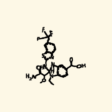 CCN1c2ccc(C(=O)O)cc2NC1(Nc1nc2ccc(C(F)(F)F)cc2s1)C(OC)C(N)=O